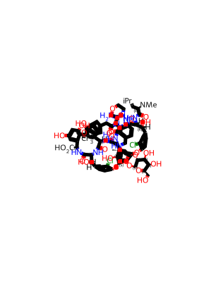 CN[C@H](CC(C)C)C(=O)N[C@H]1C(=O)NC(CC(N)=O)C(=O)NC2C(=O)N[C@H]3C(=O)N[C@H](C(=O)N[C@@H](C(=O)O)c4cc(O)cc(O)c4-c4cc3ccc4O)[C@H](O)c3ccc(c(Cl)c3)Oc3cc2cc(c3O[C@@H]2O[C@H](CO)[C@@H](O)[C@H](O)[C@H]2O[C@H]2C[C@](C)(NCc3ccc(NN4CCOCC4)c(NC(=O)Cc4ccc(OC(F)(F)F)cc4)c3)[C@H](O)[C@H](C)O2)Oc2ccc(cc2Cl)[C@H]1O